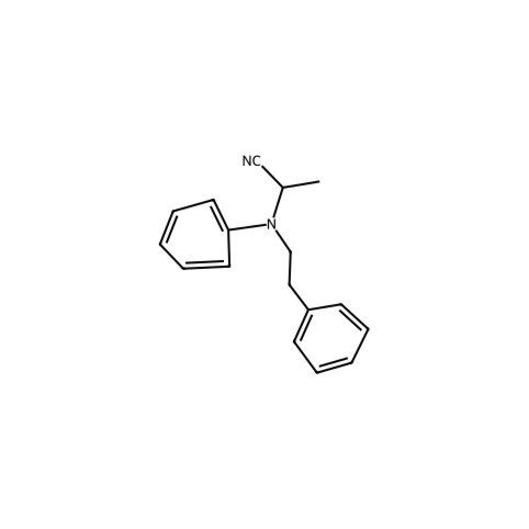 CC(C#N)N(CCc1ccccc1)c1ccccc1